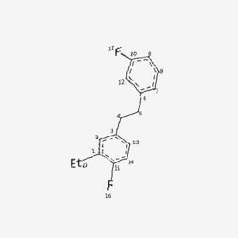 CCc1cc(CCc2cccc(F)c2)ccc1F